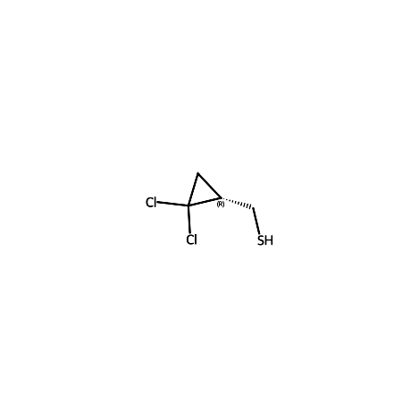 SC[C@H]1CC1(Cl)Cl